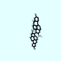 O=[N+]([O-])c1cc2ccc3c4ccc(Br)cc4cc4ccc(c1-c1c([N+](=O)[O-])cc5ccc6c7ccc(Br)cc7cc7ccc1c5c76)c2c43